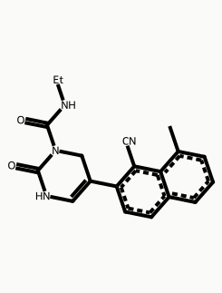 CCNC(=O)N1CC(c2ccc3cccc(C)c3c2C#N)=CNC1=O